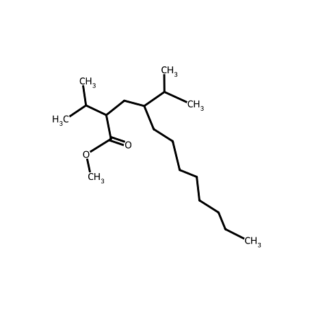 CCCCCCCCC(CC(C(=O)OC)C(C)C)C(C)C